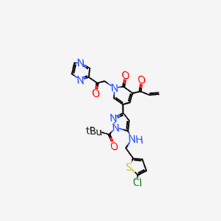 C=CC(=O)c1cc(-c2cc(NCc3ccc(Cl)s3)n(C(=O)C(C)(C)C)n2)cn(CC(=O)c2cnccn2)c1=O